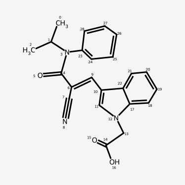 CC(C)N(C(=O)/C(C#N)=C/c1cn(CC(=O)O)c2ccccc12)c1ccccc1